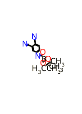 CC1(C)OB(c2nc3cc(C#N)c(C#N)cc3o2)OC1(C)C